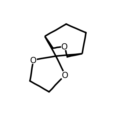 C1COC2(O1)C1CCC2COC1